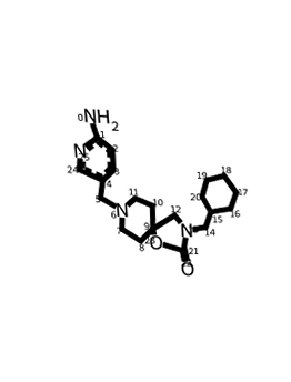 Nc1ccc(CN2CCC3(CC2)CN(CC2CCCCC2)C(=O)O3)cn1